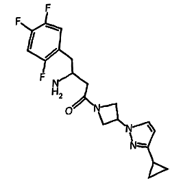 NC(CC(=O)N1CC(n2ccc(C3CC3)n2)C1)Cc1cc(F)c(F)cc1F